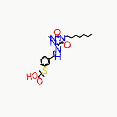 CCCCCCCn1c(=O)c(NCCc2cccc(SC(C)(C)C(=O)O)c2)nn(C)c1=O